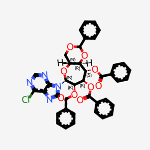 O=C(O[C@@H]1[C@@H](OC(=O)c2ccccc2)[C@@H]2OC(c3ccccc3)OC[C@H]2O[C@@H](n2cnc3c(Cl)ncnc32)[C@@H]1OC(=O)c1ccccc1)c1ccccc1